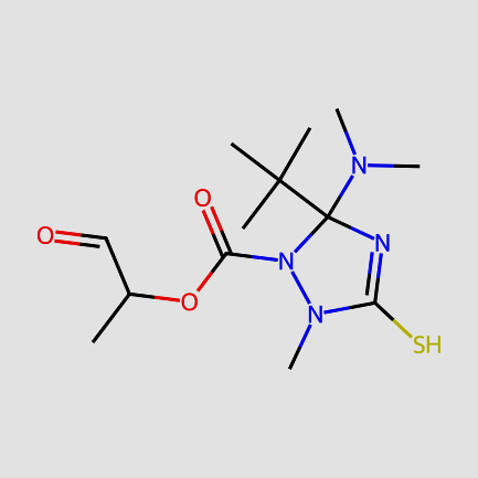 CC(C=O)OC(=O)N1N(C)C(S)=NC1(N(C)C)C(C)(C)C